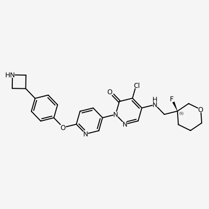 O=c1c(Cl)c(NC[C@@]2(F)CCCOC2)cnn1-c1ccc(Oc2ccc(C3CNC3)cc2)nc1